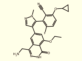 CCOc1cc(-c2cnn(C)c2-c2c(F)ccc(OC3CC3)c2C#N)cc2c(CN)n[nH]c(=O)c12